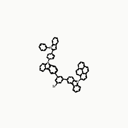 Brc1cc(-c2ccc3c(c2)c2ccccc2n3-c2ccc(-c3cc4ccccc4n3-c3ccccc3)cc2)cc(-c2ccc3c(c2)c2ccccc2n3-c2ccc3ccc4cccc5ccc2c3c45)c1